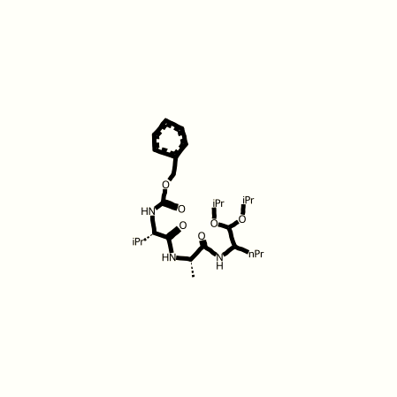 CCCC(NC(=O)[C@H](C)NC(=O)[C@@H](NC(=O)OCc1ccccc1)C(C)C)C(OC(C)C)OC(C)C